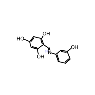 Oc1cccc(/N=C/c2c(O)cc(O)cc2O)c1